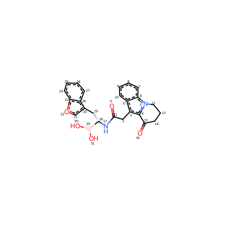 O=C(Cc1c2n(c3ccccc13)CCCC2=O)N[C@@H](Cc1coc2ccccc12)B(O)O